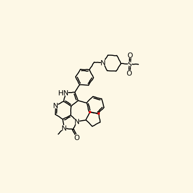 Cn1c(=O)n(C2CCCC2)c2c3c(-c4ccccc4)c(-c4ccc(CN5CCC(S(C)(=O)=O)CC5)cc4)[nH]c3ncc21